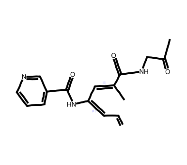 C=C/C=C(\C=C(/C)C(=O)NCC(C)=O)NC(=O)c1cccnc1